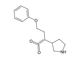 O=S(=O)=C(CCOc1ccccc1)C1CCNC1